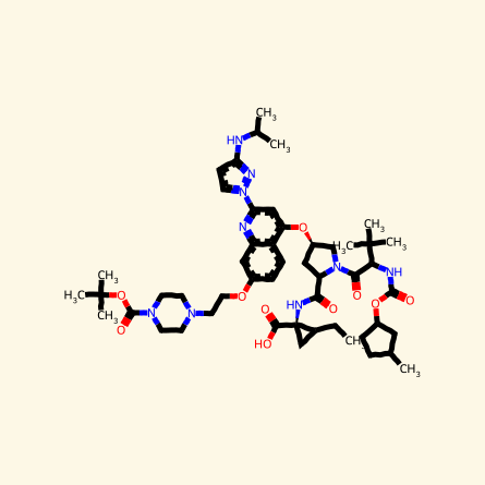 CCC1C[C@]1(NC(=O)C1C[C@@H](Oc2cc(-n3ccc(NC(C)C)n3)nc3cc(OCCN4CCN(C(=O)OC(C)(C)C)CC4)ccc23)CN1C(=O)C(NC(=O)OC1CCC(C)C1)C(C)(C)C)C(=O)O